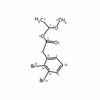 COC(C)OC(=O)Cc1cccc(Br)c1Br